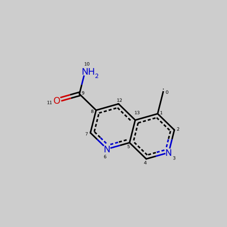 [CH2]c1cncc2ncc(C(N)=O)cc12